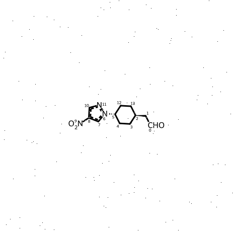 O=CC[C@H]1CC[C@H](n2cc([N+](=O)[O-])cn2)CC1